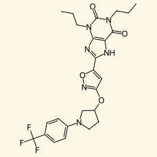 CCCn1c(=O)c2[nH]c(-c3cc(OC4CCN(c5ccc(C(F)(F)F)cc5)C4)no3)nc2n(CCC)c1=O